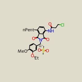 CCCCCc1ccc(NC(=O)CCCl)c2c1C(=O)N([C@H](CS(C)(=O)=O)c1ccc(OC)c(OCC)c1)C2=O